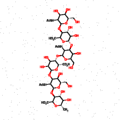 CC(=O)NC1C(O)[C@@H](O)[C@H](CO)O[C@H]1O[C@@H]1C(C(=O)O)O[C@@H](O[C@@H]2C(NC(C)=O)[C@H](O[C@H]3C(O)C(O)[C@H](OC4C(NC(C)=O)[C@H](O[C@@H]5C(C(=O)O)O[C@@H](C)C(O)[C@H]5O)O[C@@H](CO)[C@@H]4O)O[C@H]3C(=O)O)OC(CO)[C@@H]2O)C(O)[C@H]1O